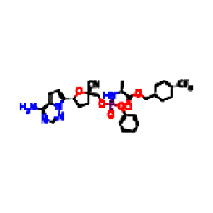 C[C@H](NP(=O)(OC[C@]1(C#N)CC[C@H](c2ccc3c(N)ncnn23)O1)Oc1ccccc1)C(=O)OC[C@H]1CC[C@H](C(F)(F)F)CC1